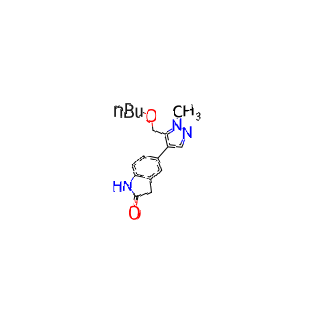 CCCCOCc1c(-c2ccc3c(c2)CC(=O)N3)cnn1C